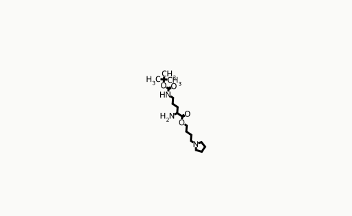 CC(C)(C)OC(=O)NCCCC(N)C(=O)OCCCCN1CCCC1